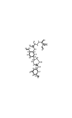 C=CNC(=C)CCC(C)N(C)Cc1cc(C2CCN(Cc3cc(C)cc(F)c3)CC2)ccc1C=C